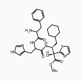 CC(C)(C)OC(=O)[C@@](O)(c1nccs1)[C@H](CC1CCCCC1)NC(=O)C(Cc1c[nH]cn1)NC(=O)C(N)Cc1ccccc1